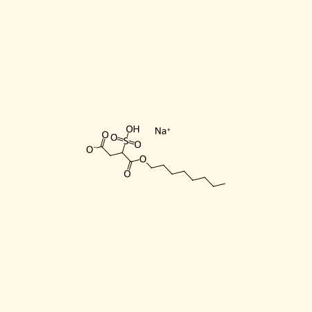 CCCCCCCCOC(=O)C(CC(=O)[O-])S(=O)(=O)O.[Na+]